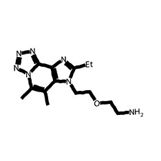 CCc1nc2c(c(C)c(C)n3nnnc23)n1CCOCCN